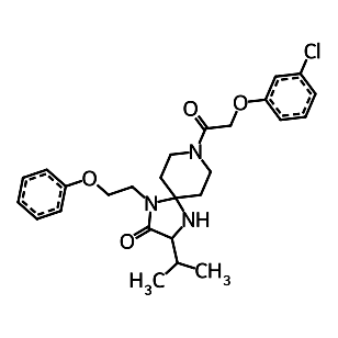 CC(C)C1NC2(CCN(C(=O)COc3cccc(Cl)c3)CC2)N(CCOc2ccccc2)C1=O